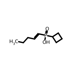 CCCC=CP(=O)(O)C1CCC1